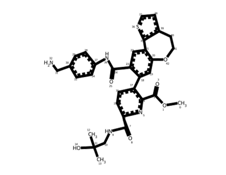 COC(=O)c1nc(C(=O)NCC(C)(C)O)ccc1-c1cc2c(cc1C(=O)Nc1ccc(CN)cc1)-c1sccc1CCO2